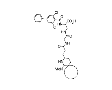 CNC1NC(CCC(=O)NCC(=O)NC[C@H](NC(=O)c2c(Cl)cc(-c3ccccc3)cc2Cl)C(=O)O)CCC12CCCCCCCCC2